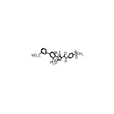 Cc1cc(C(=O)Nc2ccc(S(C)(=O)=O)cc2)c(C)n1-c1ccc(-c2cccc(C(=O)O)c2)cc1C(F)(F)F